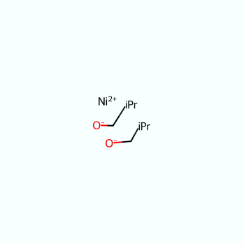 CC(C)C[O-].CC(C)C[O-].[Ni+2]